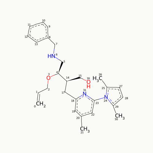 C=CCO[C@@H](CNCc1ccccc1)[C@@H](CO)Cc1cc(C)cc(-n2c(C)ccc2C)n1